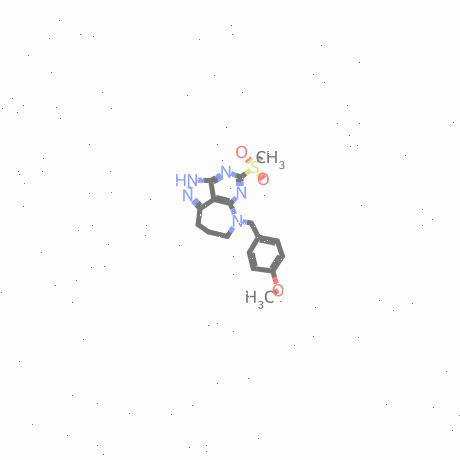 COc1ccc(CN2CCCc3n[nH]c4nc(S(C)(=O)=O)nc2c34)cc1